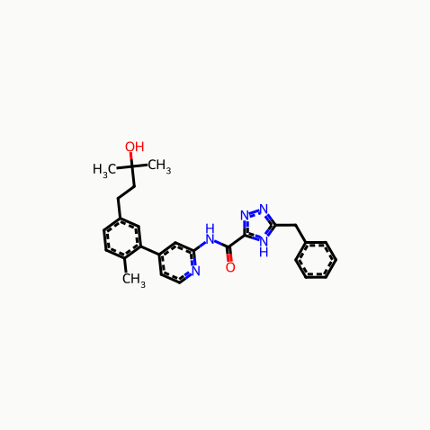 Cc1ccc(CCC(C)(C)O)cc1-c1ccnc(NC(=O)c2nnc(Cc3ccccc3)[nH]2)c1